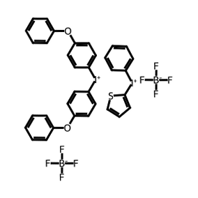 F[B-](F)(F)F.F[B-](F)(F)F.c1ccc(Oc2ccc([I+]c3ccc(Oc4ccccc4)cc3)cc2)cc1.c1ccc([I+]c2cccs2)cc1